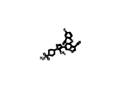 Cc1c(-c2cc(Sc3ccc(F)cc3C#N)c3c(C#N)cnn3c2)cnn1C1CCN(S(C)(=O)=O)CC1